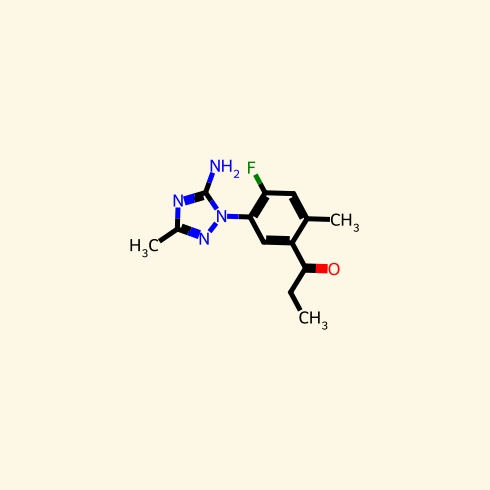 CCC(=O)c1cc(-n2nc(C)nc2N)c(F)cc1C